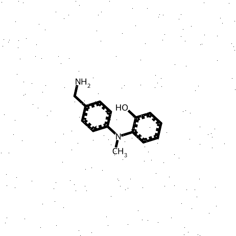 CN(c1ccc(CN)cc1)c1ccccc1O